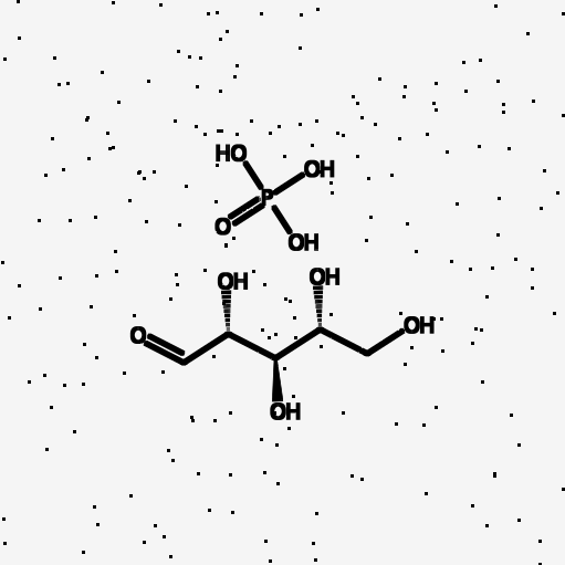 O=C[C@H](O)[C@H](O)[C@H](O)CO.O=P(O)(O)O